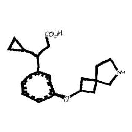 O=C(O)CC(c1cccc(OC2CC3(CCNC3)C2)c1)C1CC1